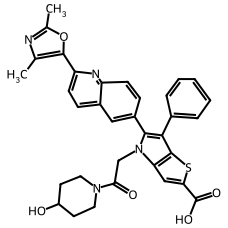 Cc1nc(C)c(-c2ccc3cc(-c4c(-c5ccccc5)c5sc(C(=O)O)cc5n4CC(=O)N4CCC(O)CC4)ccc3n2)o1